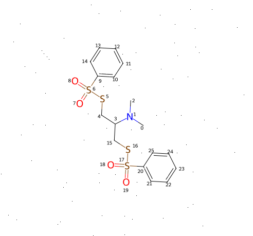 CN(C)C(CSS(=O)(=O)c1ccccc1)CSS(=O)(=O)c1ccccc1